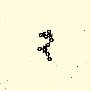 c1ccc(-c2ccc(-c3cc(-c4ccc(-c5cccc(-c6nc7ccccc7c7c6ccc6c8ccccc8sc67)c5)cc4)nc(-c4ccccc4)n3)cc2)cc1